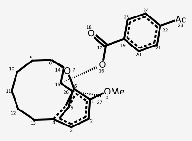 COc1ccc2c3c1OC(CCCCC2)C[C@@H](OC(=O)c1ccc(C(C)=O)cc1)[C@@H]3C